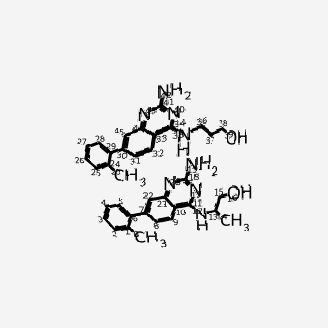 Cc1ccccc1-c1ccc2c(NC(C)CO)nc(N)nc2c1.Cc1ccccc1-c1ccc2c(NCCCO)nc(N)nc2c1